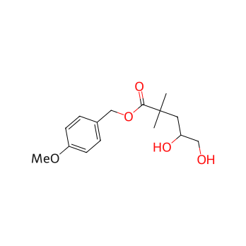 COc1ccc(COC(=O)C(C)(C)CC(O)CO)cc1